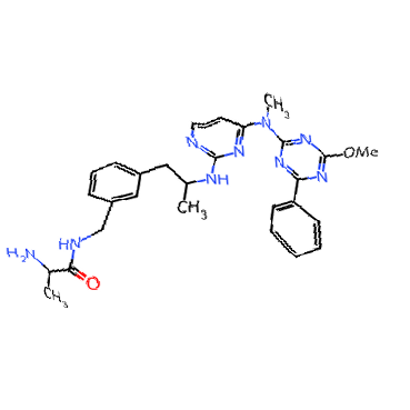 COc1nc(-c2ccccc2)nc(N(C)c2ccnc(NC(C)Cc3cccc(CNC(=O)C(C)N)c3)n2)n1